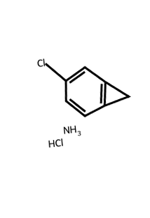 Cl.Clc1ccc2c(c1)C2.N